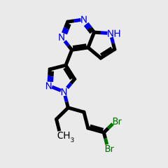 CCC(CC=C(Br)Br)n1cc(-c2ncnc3[nH]ccc23)cn1